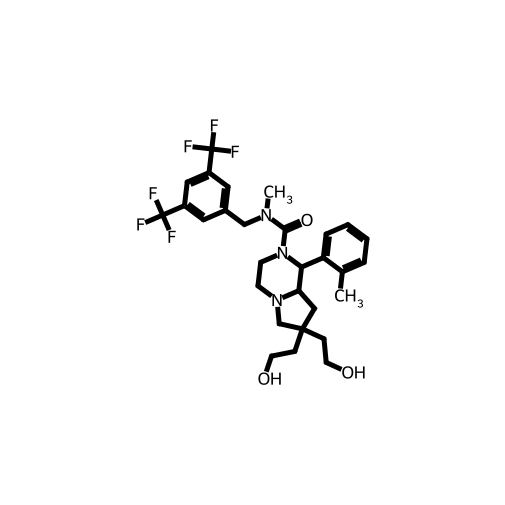 Cc1ccccc1C1C2CC(CCO)(CCO)CN2CCN1C(=O)N(C)Cc1cc(C(F)(F)F)cc(C(F)(F)F)c1